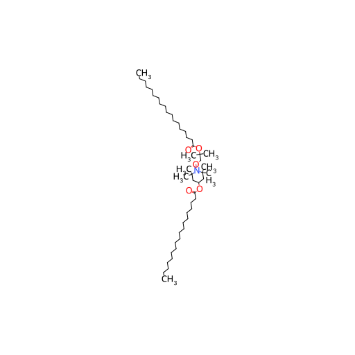 CCCCCCCCCCCCCCCCCC(=O)OC1CC(C)(C)N(OCC(C)(C)OC(=O)CCCCCCCCCCCCCCCCC)C(C)(C)C1